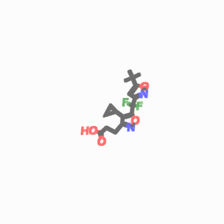 CC(C)(C)c1cc(C(F)(F)c2onc(CCC(=O)O)c2C2CC2)no1